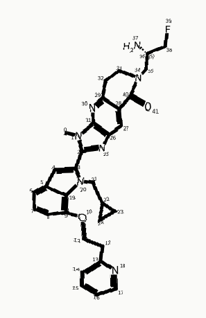 Cn1c(-c2cc3cccc(OCCc4ccccn4)c3n2CC2CC2)nc2cc3c(nc21)CCN(C[C@H](N)CF)C3=O